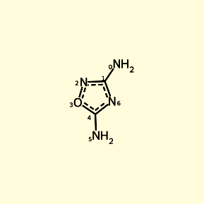 Nc1noc(N)n1